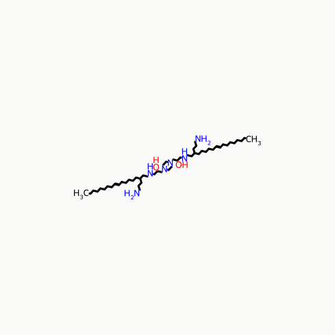 CCCCCCCCC=CCCCCCC(CCCN)CCNCC(O)CN1CCN(CC(O)CNCCC(CCCN)CCCCCC=CCCCCCCCC)CC1